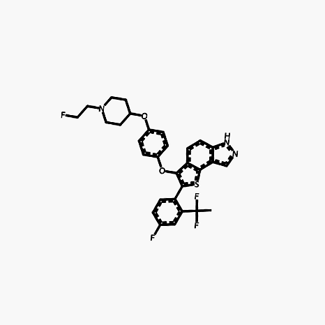 CC(F)(F)c1cc(F)ccc1-c1sc2c(ccc3[nH]ncc32)c1Oc1ccc(OC2CCN(CCF)CC2)cc1